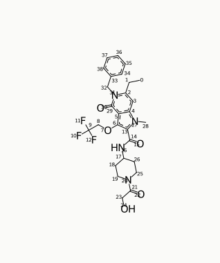 CCc1cc2c(c(OCC(F)(F)F)c(C(=O)NC3CCN(C(=O)CO)CC3)n2C)c(=O)n1Cc1ccccc1